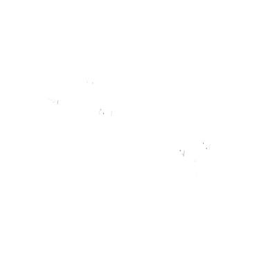 CC(C)(C)OC(=O)NCc1ccc(Cn2c(=O)[nH]c3ccccc32)cc1Cl